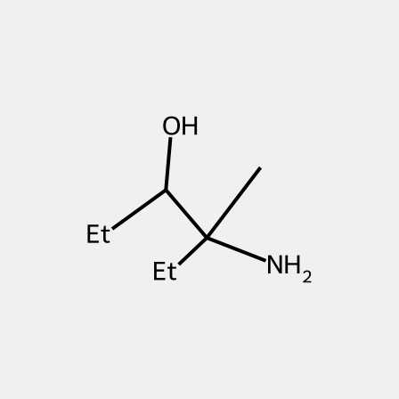 CCC(O)C(C)(N)CC